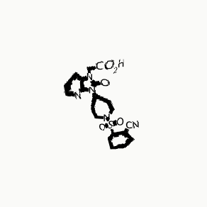 N#Cc1ccccc1S(=O)(=O)N1CCC(n2c(=O)n(CC(=O)O)c3cccnc32)CC1